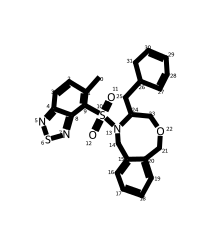 Cc1ccc2nsnc2c1S(=O)(=O)N1Cc2ccccc2COCC1CC1C=CC=CC1